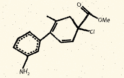 COC(=O)C1(Cl)C=CC(c2cccc(N)c2)=C(C)C1